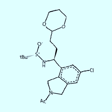 CC(=O)N1Cc2cc(Cl)cc([C@H](CCC3OCCCO3)N[S@@+]([O-])C(C)(C)C)c2C1